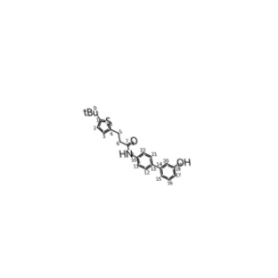 CC(C)(C)c1ccc(CCC(=O)Nc2ccc(-c3cccc(O)c3)cc2)s1